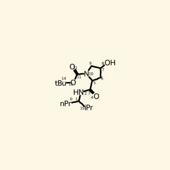 CCCC(NC(=O)C1CC(O)CN1C(=O)OC(C)(C)C)C(C)C